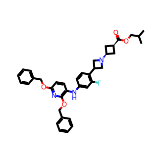 CC(C)COC(=O)[C@H]1C[C@@H](N2CC(c3ccc(Nc4ccc(OCc5ccccc5)nc4OCc4ccccc4)cc3F)C2)C1